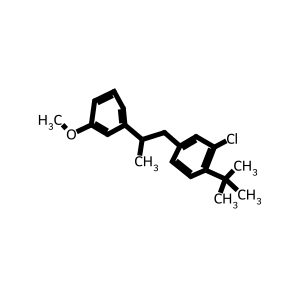 COc1cccc(C(C)Cc2ccc(C(C)(C)C)c(Cl)c2)c1